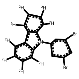 [2H]c1c([2H])c([2H])c2c(c1[2H])c1c([2H])c([2H])c([2H])c([2H])c1n2-c1cc(Br)cc(Br)c1